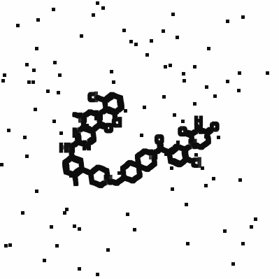 Cc1ccc(Nc2ncc3c(n2)N(C)CN(c2c(Cl)cccc2Cl)C3=O)cc1C1CCN(CC2CCC3(CC2)CCN(C(=O)c2ccc(Cl)c(N4CCC(=O)NC4=O)c2)CC3)CC1